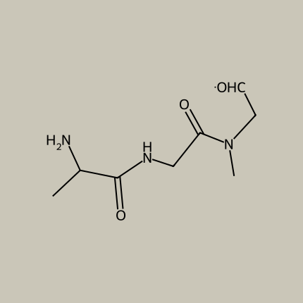 CC(N)C(=O)NCC(=O)N(C)C[C]=O